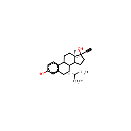 C#C[C@]1(O)CCC2C3C(CC[C@@]21C)c1ccc(O)cc1C[C@H]3C(C(=O)OCC)C(=O)OCC